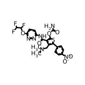 CN(C)Cc1c(-c2ccc([N+](=O)[O-])cc2)sc(OC(N)=O)c1C(=O)Nc1ccc(OC(F)C(F)F)nn1